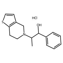 CC(C(O)c1ccccc1)N1CCc2sccc2C1.Cl